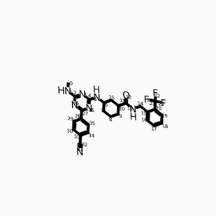 CNc1nc(NC2CCCC(C(=O)NCc3ccccc3C(F)(F)F)C2)nc(-c2ccc(C#N)cc2)n1